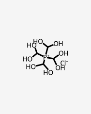 OC(O)[P+](C(O)O)(C(O)O)C(O)O.[Cl-]